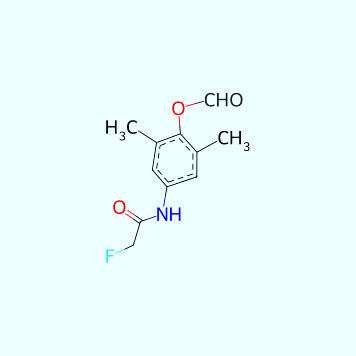 Cc1cc(NC(=O)CF)cc(C)c1OC=O